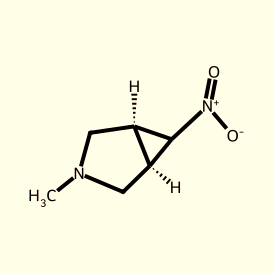 CN1C[C@@H]2C([N+](=O)[O-])[C@@H]2C1